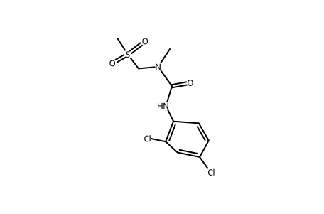 CN(CS(C)(=O)=O)C(=O)Nc1ccc(Cl)cc1Cl